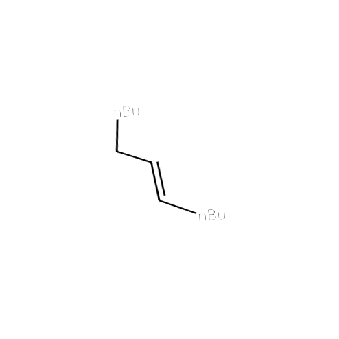 [CH2]CCCC=CCCCCC